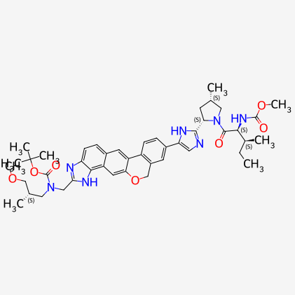 CC[C@H](C)[C@H](NC(=O)OC)C(=O)N1C[C@@H](C)C[C@H]1c1ncc(-c2ccc3c(c2)COc2cc4c(ccc5nc(CN(C[C@H](C)COC)C(=O)OC(C)(C)C)[nH]c54)cc2-3)[nH]1